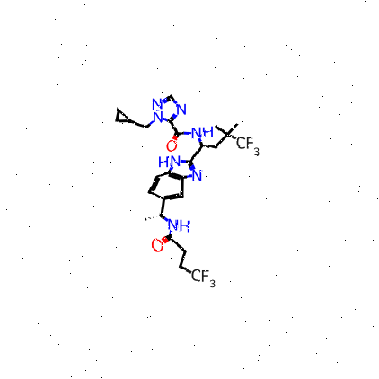 C[C@@H](NC(=O)CCC(F)(F)F)c1ccc2[nH]c([C@H](CC(C)(C)C(F)(F)F)NC(=O)c3ncnn3CC3CC3)nc2c1